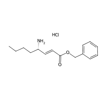 CCCC[C@H](N)/C=C/C(=O)OCc1ccccc1.Cl